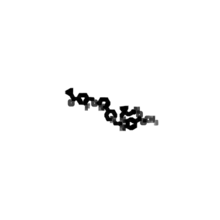 COC(=O)c1ccc2nc(CN3CCC(c4cccc(OCc5ccc(C(=O)C6CC6)cc5F)n4)CC3)n(CC3(CC#N)CC3)c2c1